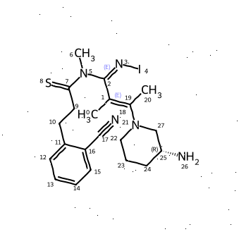 CC(/C(=N\I)N(C)C(=S)CCc1ccccc1C#N)=C(/C)N1CCC[C@@H](N)C1